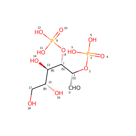 O=C[C@@H](OP(=O)(O)O)[C@@H](OP(=O)(O)O)[C@H](O)[C@H](O)CO